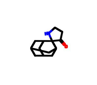 O=C1CCNC12C1CC3CC(C1)CC2C3